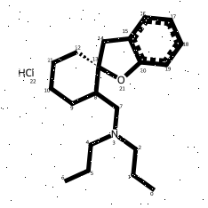 CCCN(CCC)CC1CCCC[C@@]12Cc1ccccc1O2.Cl